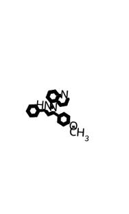 COc1ccc(-c2cc(-c3ccccc3)[nH]n2)cc1.c1ccc2ncccc2c1